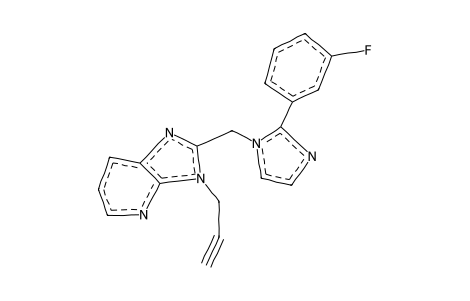 C#CCn1c(Cn2ccnc2-c2cccc(F)c2)nc2cccnc21